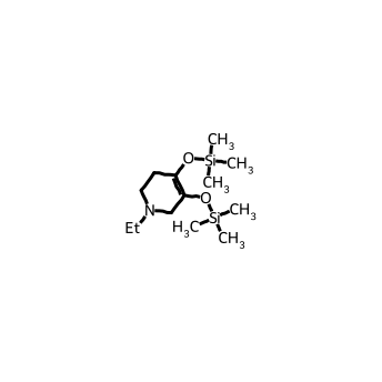 CCN1CCC(O[Si](C)(C)C)=C(O[Si](C)(C)C)C1